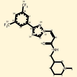 CN1CCCC(CNC(=O)/C=C\n2cnc(-c3cc(C(F)(F)F)cc(C(F)(F)F)c3)n2)C1